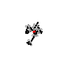 CCC[C@@H]([C@@H](CC(=O)N1CCC[C@H]1[C@H](OC)[C@@H](C)C(=O)N[C@@H](Cc1ccccc1)C(=O)OC)OC)N(C)C(=O)CNC(=O)C(C(C)C)N(C)Cc1cccc(NC(=O)CCCCCN2C(=O)CC(C)C2=O)c1